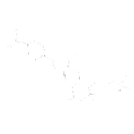 COc1cc2c(cc1/N=N/c1ccc([N+](=O)[O-])cc1)C(C)CC(C)(C)C2CCCS(=O)(=O)O